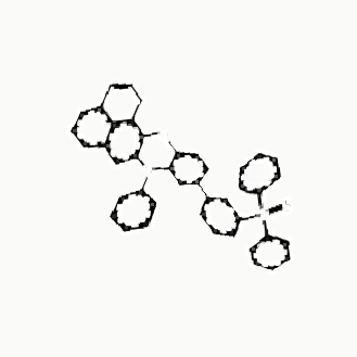 S=P(c1ccccc1)(c1ccccc1)c1cccc(-c2ccc3c(c2)N(c2ccccc2)c2cc4cccc5c4c(c2O3)CC=C5)c1